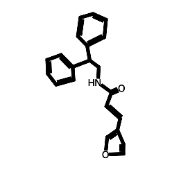 O=C(C=Cc1ccoc1)NCC(c1ccccc1)c1ccccc1